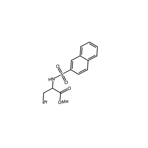 COC(=O)C(CC(C)C)NS(=O)(=O)c1ccc2ccccc2c1